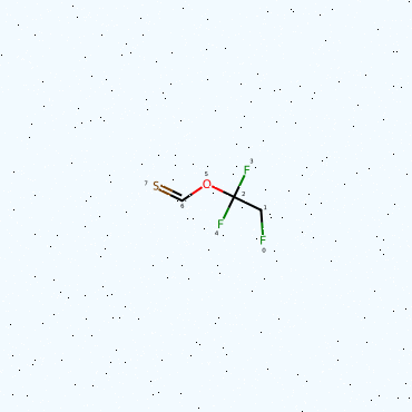 FCC(F)(F)O[C]=S